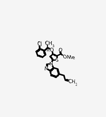 C=CCc1ccc2ncn(-c3cc(O[C@H](C)c4ccccc4Cl)c(C(=O)OC)s3)c2c1